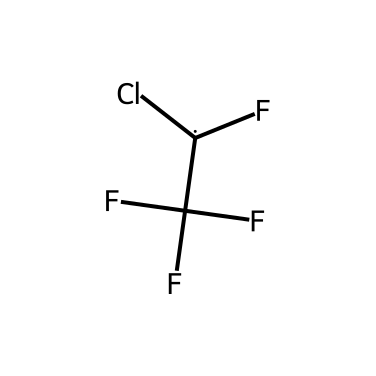 F[C](Cl)C(F)(F)F